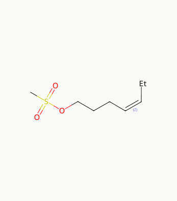 CC/C=C\CCCOS(C)(=O)=O